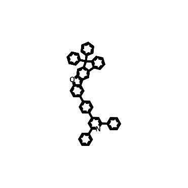 c1ccc(-c2cc(-c3ccc(-c4ccc5oc6cc7c(cc6c5c4)-c4ccccc4C7(c4ccccc4)c4ccccc4)cc3)cc(-c3ccccc3)n2)cc1